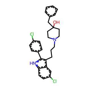 OC1(Cc2ccccc2)CCN(CCCc2c(-c3ccc(Cl)cc3)[nH]c3ccc(Cl)cc23)CC1